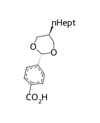 CCCCCCC[C@H]1CO[C@H](c2ccc(C(=O)O)cc2)OC1